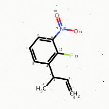 C=C[C](C)c1cccc([N+](=O)[O-])c1F